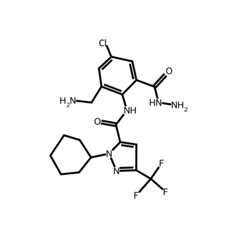 NCc1cc(Cl)cc(C(=O)NN)c1NC(=O)c1cc(C(F)(F)F)nn1C1CCCCC1